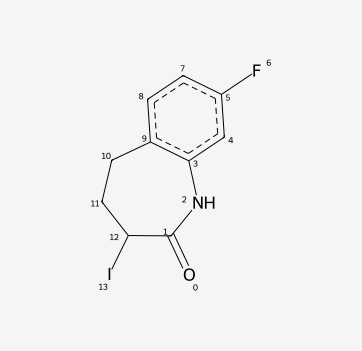 O=C1Nc2cc(F)ccc2CCC1I